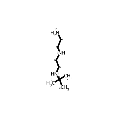 CC(C)(C)NCCNCCN